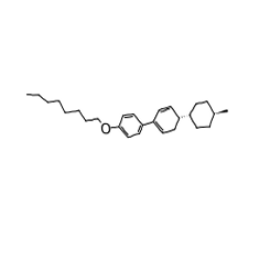 CCCCCCCCOc1ccc(C2=CCC([C@H]3CC[C@H](C)CC3)C=C2)cc1